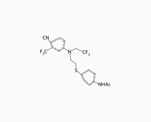 [C-]#[N+]c1ccc(N(CCSc2ccc(NC(C)=O)cc2)CC(F)(F)F)cc1C(F)(F)F